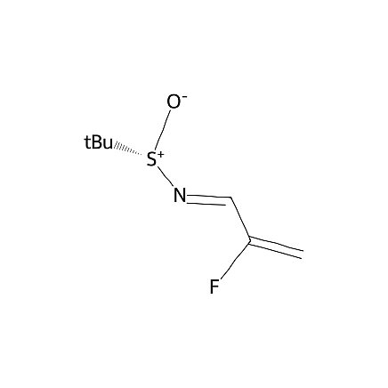 C=C(F)C=N[S@@+]([O-])C(C)(C)C